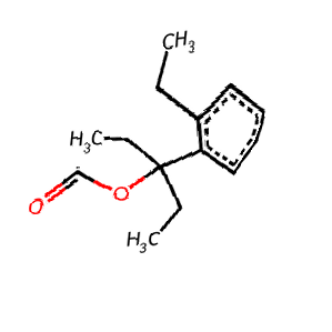 CCc1ccccc1C(CC)(CC)O[C]=O